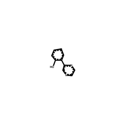 Oc1cc[c]cc1-c1cnccn1